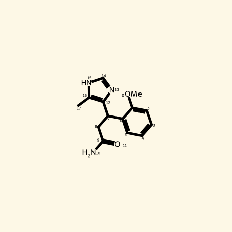 COc1ccccc1C(CC(N)=O)c1nc[nH]c1C